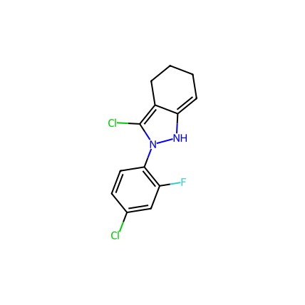 Fc1cc(Cl)ccc1N1NC2=CCCCC2=C1Cl